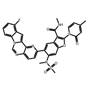 CNC(=O)c1c(-n2ccc(C)cc2=O)oc2cc(N(C)S(C)(=O)=O)c(-c3ccc4ncn5c6cccc(F)c6cc5c4n3)cc12